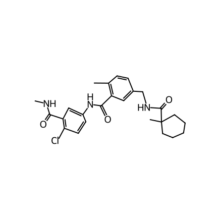 CNC(=O)c1cc(NC(=O)c2cc(CNC(=O)C3(C)CCCCC3)ccc2C)ccc1Cl